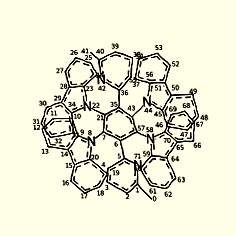 Cc1cccc(-c2c(-n3c4ccccc4c4ccccc43)c(-n3c4ccccc4c4ccccc43)c(-c3cccc(C)n3)c(-n3c4ccccc4c4ccccc43)c2-n2c3ccccc3c3ccccc32)n1